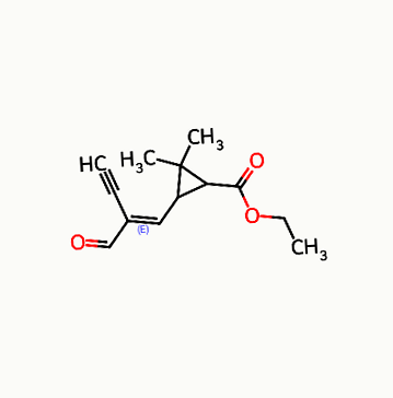 C#C/C(C=O)=C\C1C(C(=O)OCC)C1(C)C